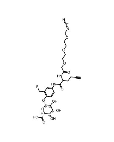 C#CCCC(NC(=O)COCCOCCOCN=[N+]=[N-])C(=O)Nc1ccc(O[C@H]2O[C@@H](C(=O)O)[C@H](O)[C@@H](O)[C@@H]2O)c(CF)c1